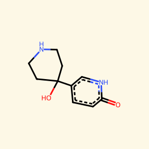 O=c1ccc(C2(O)CCNCC2)c[nH]1